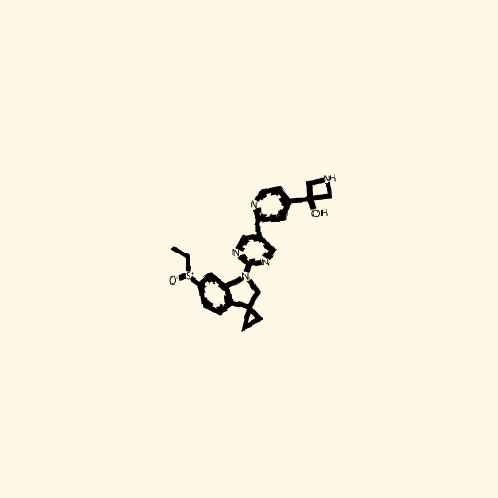 CC[S+]([O-])c1ccc2c(c1)N(c1ncc(-c3cc(C4(O)CNC4)ccn3)cn1)CC21CC1